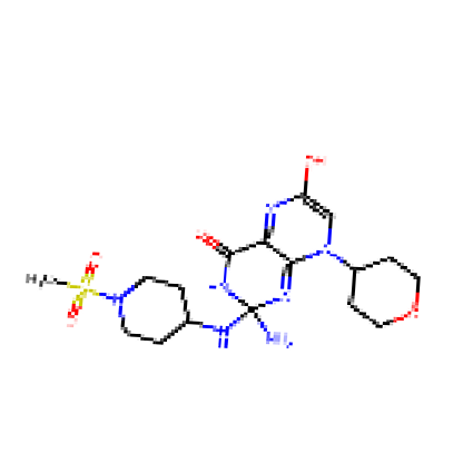 CS(=O)(=O)N1CCC(NC2(N)N=C3C(=NC(O)=CN3C3CCOCC3)C(=O)N2)CC1